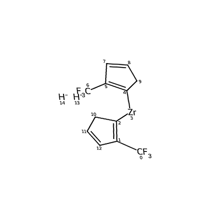 FC(F)(F)C1=[C]([Zr][C]2=C(C(F)(F)F)C=CC2)CC=C1.[H-].[H-]